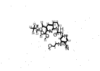 COCCNc1cc(NC(=O)N2CCCc3cc(C(C)O[Si](C)(C)C(C)(C)C)c(C(OC)OC)nc32)ncc1C#N